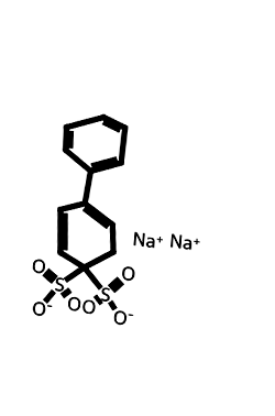 O=S(=O)([O-])C1(S(=O)(=O)[O-])C=CC(c2ccccc2)=CC1.[Na+].[Na+]